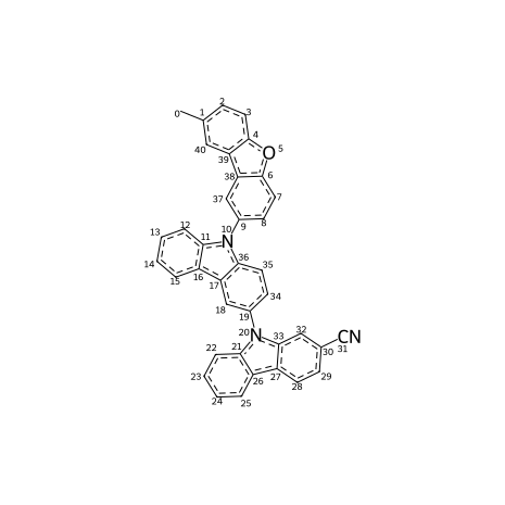 Cc1ccc2oc3ccc(-n4c5ccccc5c5cc(-n6c7ccccc7c7ccc(C#N)cc76)ccc54)cc3c2c1